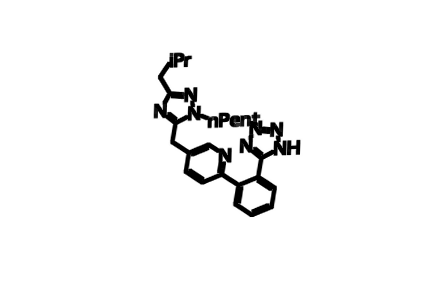 CCCCCn1nc(CC(C)C)nc1Cc1ccc(-c2ccccc2-c2nnn[nH]2)nc1